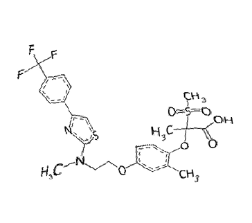 Cc1cc(OCCN(C)c2nc(-c3ccc(C(F)(F)F)cc3)cs2)ccc1OC(C)(C(=O)O)S(C)(=O)=O